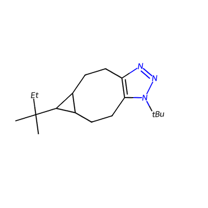 CCC(C)(C)C1C2CCc3nnn(C(C)(C)C)c3CCC21